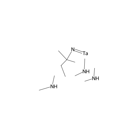 CCC(C)(C)[N]=[Ta].CNC.CNC.CNC